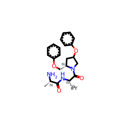 CC(C)[C@H](NC(=O)[C@H](C)N)C(=O)N1CC(Oc2ccccc2)C[C@H]1COc1ccccc1